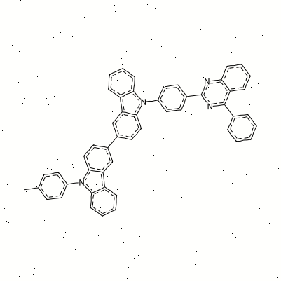 Cc1ccc(-n2c3ccccc3c3cc(-c4ccc5c(c4)c4ccccc4n5-c4ccc(-c5nc(-c6ccccc6)c6ccccc6n5)cc4)ccc32)cc1